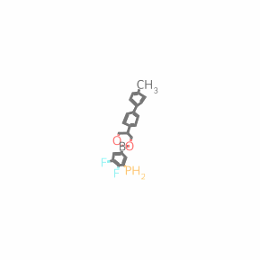 Cc1ccc(-c2ccc(C3COB(c4cc(F)c(F)c(P)c4)OC3)cc2)cc1